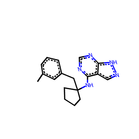 Cc1cccc(CC2(Nc3ncnc4[nH]ncc34)CCCC2)c1